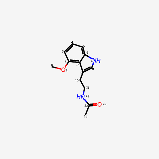 COc1cccc2[nH]cc(CCNC(C)=O)c12